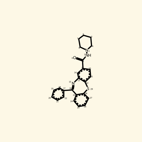 O=C(NN1CCCCC1)c1ccc2c(c1)N=C(c1ccccc1)c1ccccc1S2